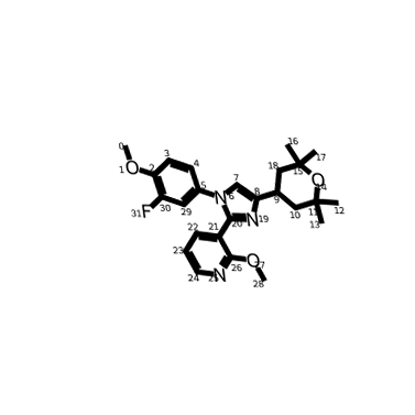 COc1ccc(-n2cc(C3CC(C)(C)OC(C)(C)C3)nc2-c2cccnc2OC)cc1F